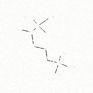 CCCN(CCC[Si](OC)(OC)OC)[Si](OC)(OC)OC